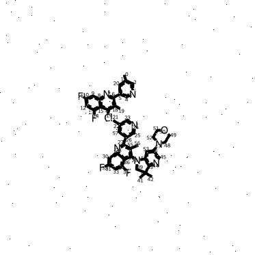 Cc1cncc(-c2nc3cc(F)cc(F)c3c(Cl)c2C)c1.Cc1cncc(-c2nc3cc(F)cc(F)c3c(N3CC(C)(C)c4ncc(N5CCOCC5)cc43)c2C)c1